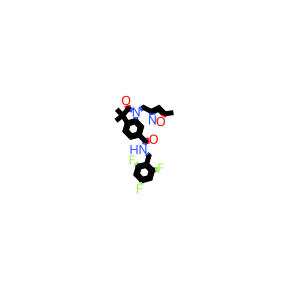 Cc1cc(CN2C(=O)C(C)(C)c3ccc(C(=O)NCc4c(F)cc(F)cc4F)cc32)no1